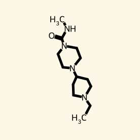 CCN1CCC(N2CCN(C(=O)NC)CC2)CC1